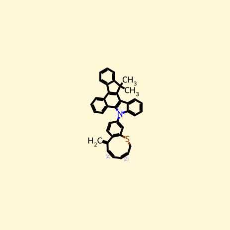 C=C1/C=C\C=C/CSc2cc(-n3c4ccccc4c4c5c(c6ccccc6c43)-c3ccccc3C5(C)C)ccc21